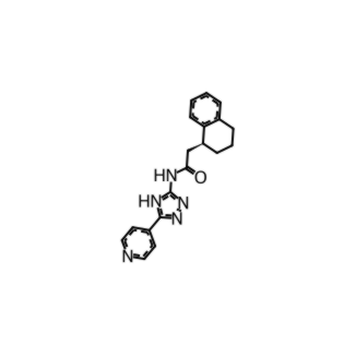 O=C(C[C@@H]1CCCc2ccccc21)Nc1nnc(-c2ccncc2)[nH]1